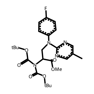 COC(=O)C(CN(c1ccc(F)cc1)c1ncc(C)cn1)N(C(=O)OC(C)(C)C)C(=O)OC(C)(C)C